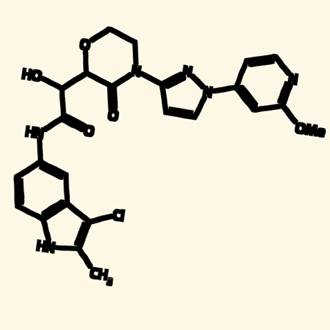 COc1cc(-n2ccc(N3CCOC(C(O)C(=O)Nc4ccc5[nH]c(C)c(Cl)c5c4)C3=O)n2)ccn1